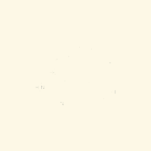 CC(C)Sc1ccc(F)cc1C1(O)C(N)=Nc2ccc(Cl)cc21